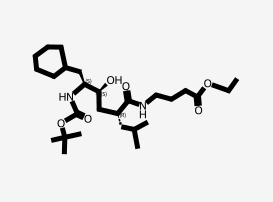 CCOC(=O)CCCNC(=O)[C@H](CC(C)C)C[C@H](O)[C@H](CC1CCCCC1)NC(=O)OC(C)(C)C